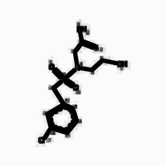 NC(=S)CN(CCO)S(=O)(=O)Cc1cccc(Cl)c1